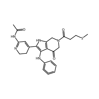 CSCCC(=O)N1CC(=O)c2c([nH]c(C3=CC(NC(C)=O)=NCC3)c2NC2=C=C=CC=C2)C1